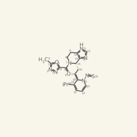 Cc1nnc(C(=O)N2CCc3[nH]cnc3[C@@H]2C/C=C2/C(C(C)C)=CC=CN2N=S)o1